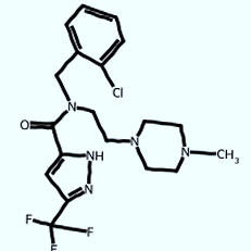 CN1CCN(CCN(Cc2ccccc2Cl)C(=O)c2cc(C(F)(F)F)n[nH]2)CC1